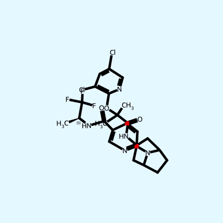 C[C@H](NC(=O)c1ccc(N2C3CCC2CC(NC(=O)C(C)(C)Oc2ncc(Cl)cc2Cl)C3)nc1)C(F)(F)F